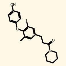 O=C(CCc1cc(I)c(Oc2ccc(O)cc2)c(I)c1)N1CCCCC1